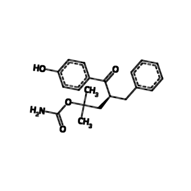 CC(C)(C[C@H](Cc1ccccc1)C(=O)c1ccc(O)cc1)OC(N)=O